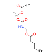 CC(C)CCCC(=O)OCNC(=O)O[C@H](C)OC(=O)C(C)C